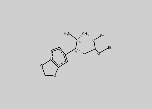 CCOC(C[C@H](c1ccc2c(c1)OCO2)[C@@H](C)N)OCC